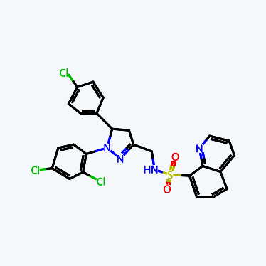 O=S(=O)(NCC1=NN(c2ccc(Cl)cc2Cl)C(c2ccc(Cl)cc2)C1)c1cccc2cccnc12